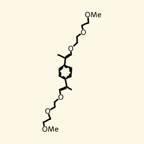 COCCOCCO/C=C(\C)c1ccc(/C(C)=C/OCCOCCOC)cc1